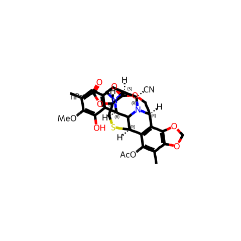 CCCC(=O)O[C@H]1CS[C@@H]2c3c(OC(C)=O)c(C)c4c(c3[C@H](COC1=O)N1C2[C@H]2c3c(cc(C)c(OC)c3O)C[C@@H]([C@@H]1C#N)N2C)OCO4